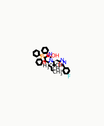 CCCC[C@@H](C(=O)C(C#N)=P(c1ccccc1)(c1ccccc1)c1ccccc1)N(C(=O)O)[C@H](Cc1nnc(-c2ccc(F)cc2)o1)C(C)(C)C